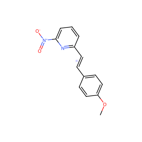 COc1ccc(/C=C/c2cccc([N+](=O)[O-])n2)cc1